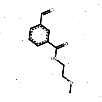 COCCNC(=O)c1cccc(C=O)c1